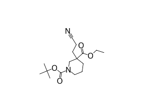 CCOC(=O)C1(CCC#N)CCCN(C(=O)OC(C)(C)C)C1